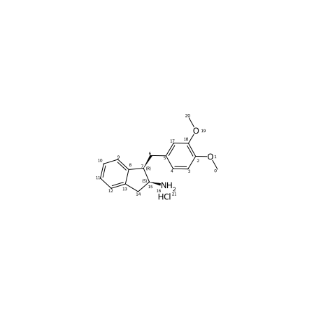 COc1ccc(C[C@@H]2c3ccccc3C[C@@H]2N)cc1OC.Cl